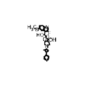 COc1ccc2ncc(F)c(C(O)COC3(C(=O)O)CCN(C4CC(c5ccccc5)C4)CC3)c2c1